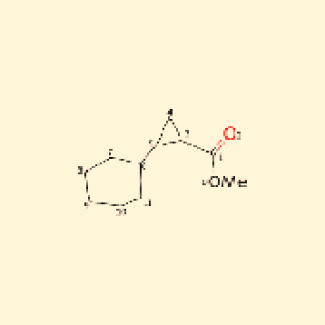 COC(=O)C1CC1C1CCCCC1